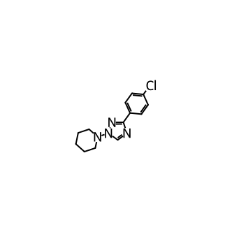 Clc1ccc(-c2ncn(N3CCCCC3)n2)cc1